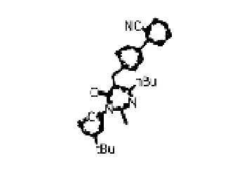 CCCCc1nc(C)n(-c2cccc(C(C)(C)C)c2)c(=O)c1Cc1ccc(-c2ccccc2C#N)cc1